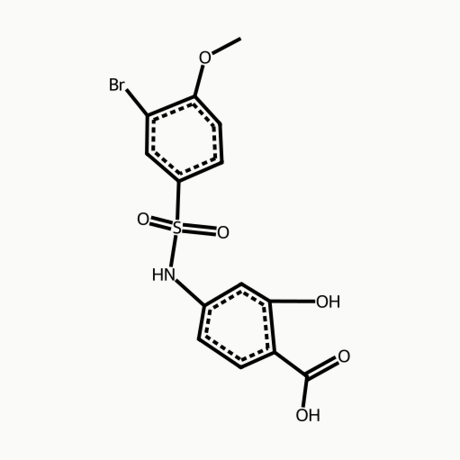 COc1ccc(S(=O)(=O)Nc2ccc(C(=O)O)c(O)c2)cc1Br